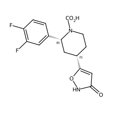 O=C(O)N1CC[C@H](c2cc(=O)[nH]o2)C[C@@H]1c1ccc(F)c(F)c1